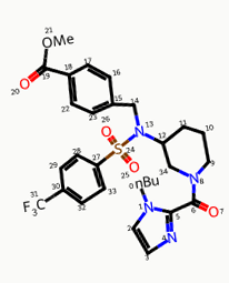 CCCCn1ccnc1C(=O)N1CCCC(N(Cc2ccc(C(=O)OC)cc2)S(=O)(=O)c2ccc(C(F)(F)F)cc2)C1